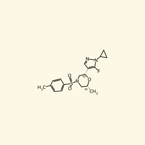 Cc1ccc(S(=O)(=O)N2C[C@@H](C)O[C@@H](c3cnn(C4CC4)c3F)C2)cc1